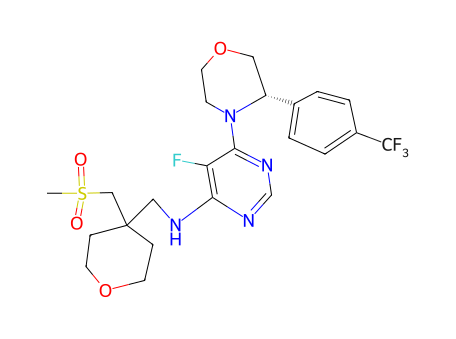 CS(=O)(=O)CC1(CNc2ncnc(N3CCOC[C@@H]3c3ccc(C(F)(F)F)cc3)c2F)CCOCC1